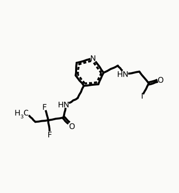 CCC(F)(F)C(=O)NCc1ccnc(CNCC(=O)I)c1